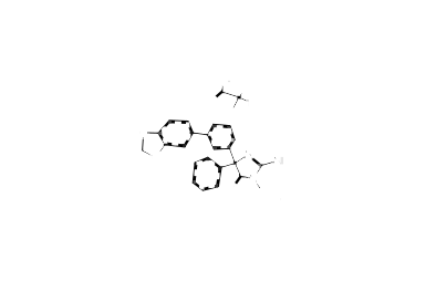 CN1C(=O)C(c2ccccc2)(c2cccc(-c3ccc4c(c3)OCO4)c2)N=C1N.O=C(O)C(F)(F)F